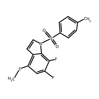 CSc1cc(F)c(F)c2c1ccn2S(=O)(=O)c1ccc(C)cc1